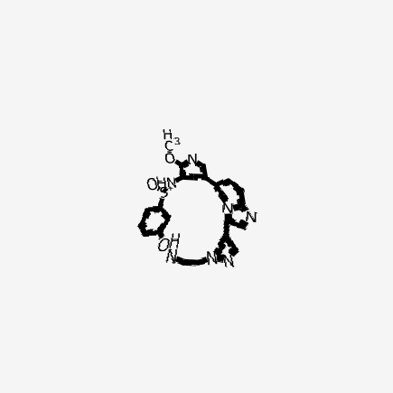 COc1ncc2cc1N[S+]([O-])c1cccc(c1)ONCCn1cc(cn1)-c1cnc3ccc-2cn13